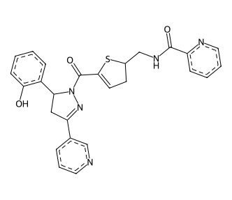 O=C(NCC1CC=C(C(=O)N2N=C(c3cccnc3)CC2c2ccccc2O)S1)c1ccccn1